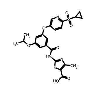 Cc1nc(NC(=O)c2cc(Oc3ccc(S(=O)(=O)C4CC4)nc3)cc(OC(C)C)c2)sc1C(=O)O